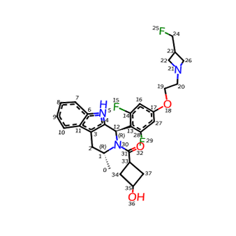 C[C@@H]1Cc2c([nH]c3ccccc23)[C@@H](c2c(F)cc(OCCN3CC(CF)C3)cc2F)N1C(=O)C1CC(O)C1